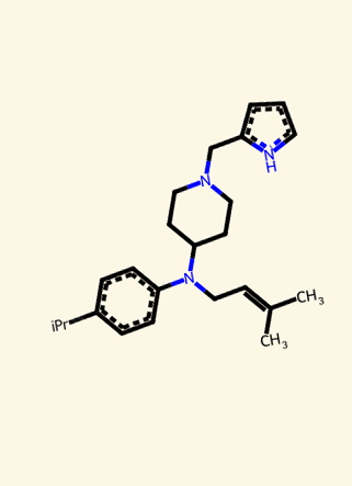 CC(C)=CCN(c1ccc(C(C)C)cc1)C1CCN(Cc2ccc[nH]2)CC1